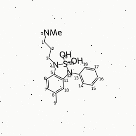 CNCCCN1c2ccc(C)cc2N(c2ccccc2)S1(O)O